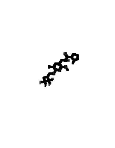 COc1nc(OCC2CC(F)(F)C2(F)F)c(F)cc1CNC(=O)[C@@H]1CCCN1C